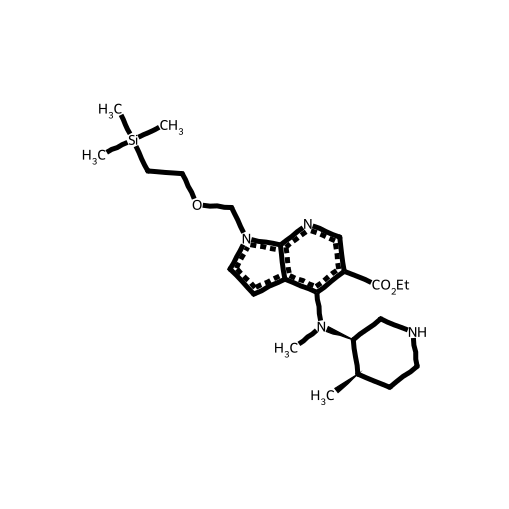 CCOC(=O)c1cnc2c(ccn2COCC[Si](C)(C)C)c1N(C)[C@H]1CNCC[C@H]1C